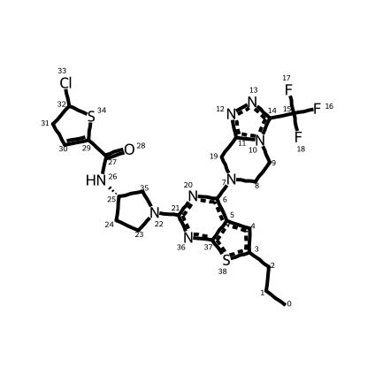 CCCc1cc2c(N3CCn4c(nnc4C(F)(F)F)C3)nc(N3CC[C@H](NC(=O)C4=CCC(Cl)S4)C3)nc2s1